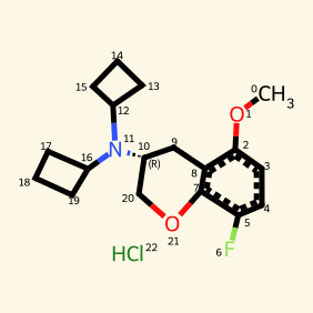 COc1ccc(F)c2c1C[C@@H](N(C1CCC1)C1CCC1)CO2.Cl